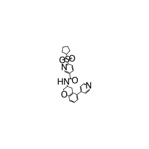 O=C(N[C@@H]1COc2cccc(-c3ccncc3)c2C1)c1ccc(S(=O)(=O)C2CCCC2)nc1